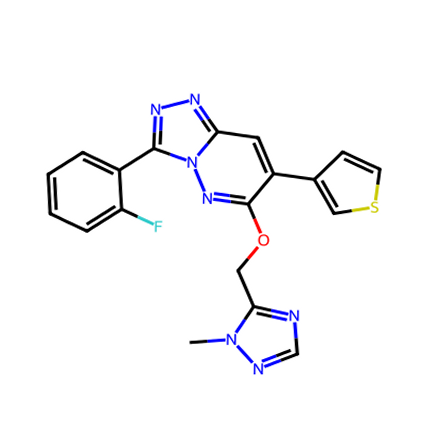 Cn1ncnc1COc1nn2c(-c3ccccc3F)nnc2cc1-c1ccsc1